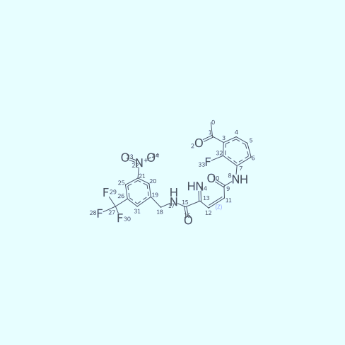 CC(=O)c1cccc(NC(=O)/C=C\C(=N)C(=O)NCc2cc([N+](=O)[O-])cc(C(F)(F)F)c2)c1F